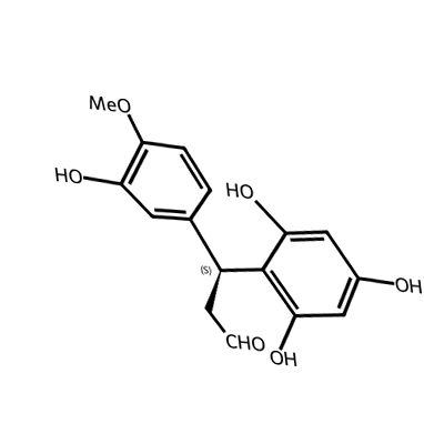 COc1ccc([C@H](CC=O)c2c(O)cc(O)cc2O)cc1O